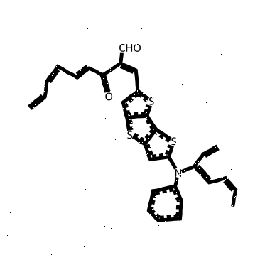 C=C/C=C\C=C\C(=O)/C(C=O)=C\c1cc2sc3cc(N(/C(C=C)=C/C=C\C)c4ccccc4)sc3c2s1